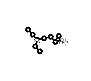 CC1(C)c2ccccc2-c2c(-c3cccc(-c4ccc(-c5cc(-c6ccc(-c7ccccc7)cc6)nc(-c6cccc(-c7ccccc7)c6)n5)cc4)c3)cccc21